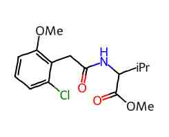 COC(=O)C(NC(=O)Cc1c(Cl)cccc1OC)C(C)C